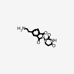 NCCc1ccc2c(c1)C(=O)N(N1CCC(=O)NC1=O)C2=O